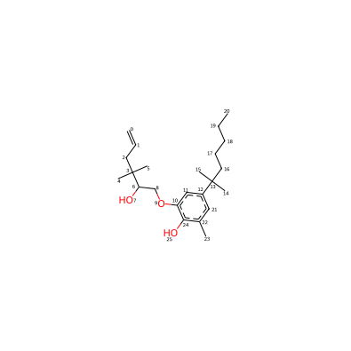 C=CCC(C)(C)C(O)COc1cc(C(C)(C)CCCCC)cc(C)c1O